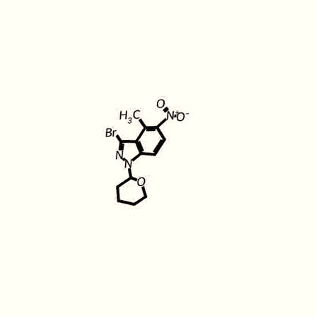 Cc1c([N+](=O)[O-])ccc2c1c(Br)nn2C1CCCCO1